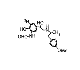 [2H]c1cc(C(O)CNC(C)Cc2ccc(OC)cc2)cc(NC=O)c1O